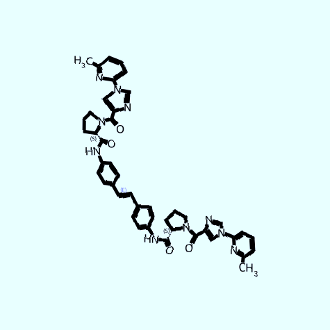 Cc1cccc(-n2cnc(C(=O)N3CCC[C@H]3C(=O)Nc3ccc(/C=C/c4ccc(NC(=O)[C@@H]5CCCN5C(=O)c5cn(-c6cccc(C)n6)cn5)cc4)cc3)c2)n1